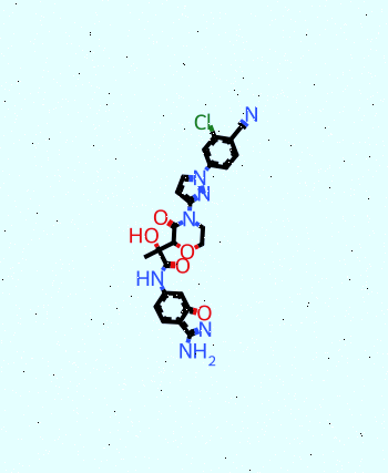 CC(O)(C(=O)Nc1ccc2c(N)noc2c1)C1OCCN(c2ccn(-c3ccc(C#N)c(Cl)c3)n2)C1=O